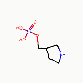 O=P(O)(O)OCC1CCNC1